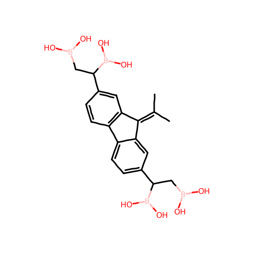 CC(C)=C1c2cc(C(CB(O)O)B(O)O)ccc2-c2ccc(C(CB(O)O)B(O)O)cc21